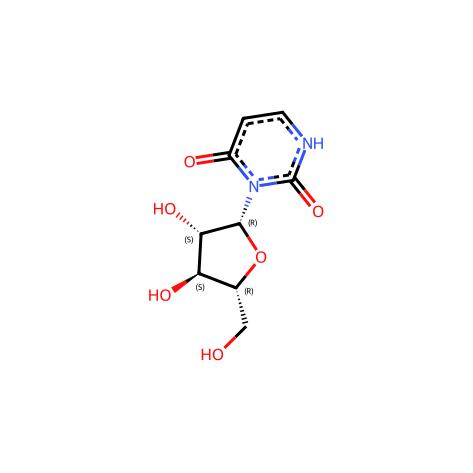 O=c1cc[nH]c(=O)n1[C@@H]1O[C@H](CO)[C@@H](O)[C@@H]1O